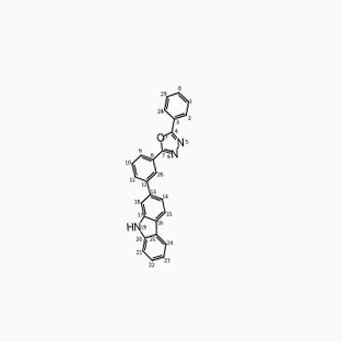 c1ccc(-c2nnc(-c3cccc(-c4ccc5c(c4)[nH]c4ccccc45)c3)o2)cc1